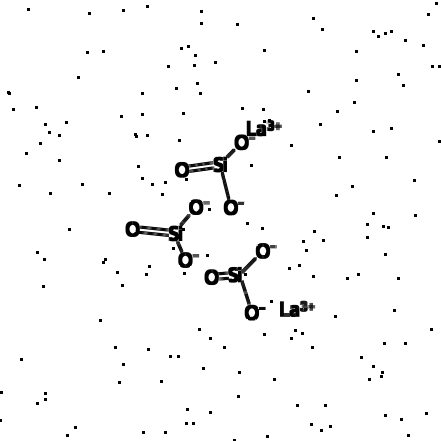 O=[Si]([O-])[O-].O=[Si]([O-])[O-].O=[Si]([O-])[O-].[La+3].[La+3]